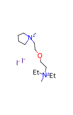 CC[N+](C)(CC)CCOCC[N+]1(C)CCCC1.[I-].[I-]